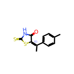 C/C(=C1\SC(=S)NC1=O)c1ccc(C)cc1